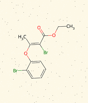 CCOC(=O)C(Br)=C(C)Oc1ccccc1Br